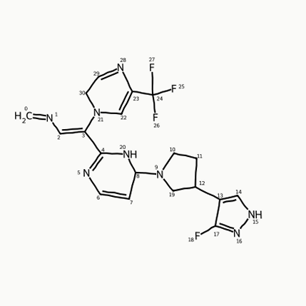 C=N/C=C(/C1=NC=CC(N2CCC(c3c[nH]nc3F)C2)N1)N1C=C(C(F)(F)F)N=CC1